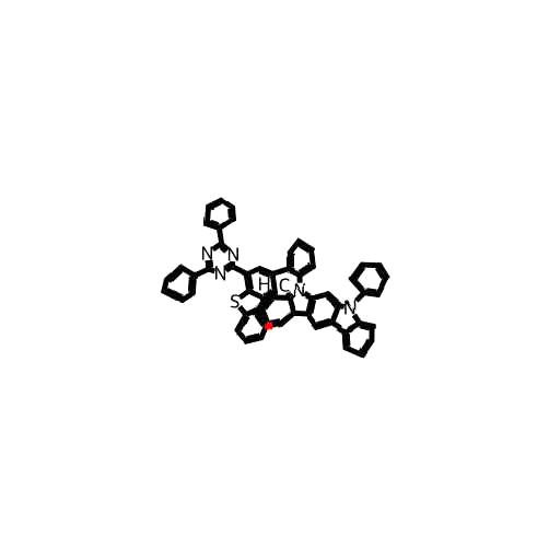 CC12C=CC=CC1c1cc3c4ccccc4n(-c4ccccc4)c3cc1N2c1ccccc1-c1cc(-c2nc(-c3ccccc3)nc(-c3ccccc3)n2)c2sc3ccccc3c2c1